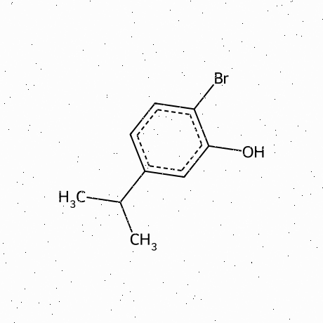 CC(C)c1ccc(Br)c(O)c1